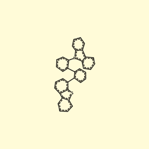 c1ccc(-c2cccc3c2sc2ccccc23)c(-c2ccccc2-n2c3ccccc3c3ccccc32)c1